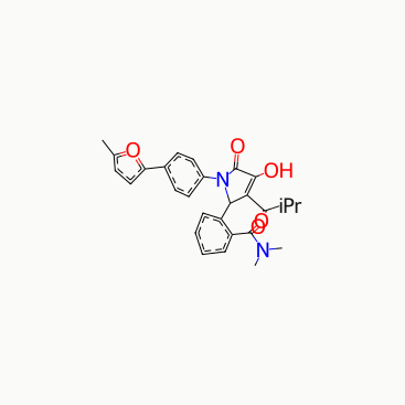 Cc1ccc(-c2ccc(N3C(=O)C(O)=C(C(=O)C(C)C)C3c3ccccc3C(=O)N(C)C)cc2)o1